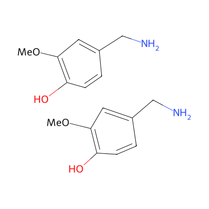 COc1cc(CN)ccc1O.COc1cc(CN)ccc1O